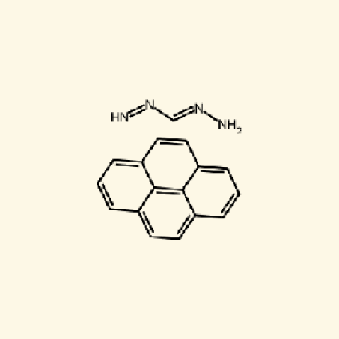 N=NC=NN.c1cc2ccc3cccc4ccc(c1)c2c34